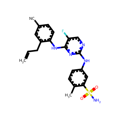 C=CCc1cc(C#N)ccc1Nc1nc(Nc2ccc(C)c(S(N)(=O)=O)c2)ncc1F